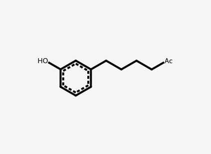 CC(=O)CCCCc1cccc(O)c1